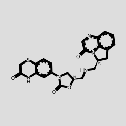 O=C1CSc2ccc(N3C[C@@H](CNC[C@@H]4Cc5cccc6ncc(=O)n4c56)OC3=O)cc2N1